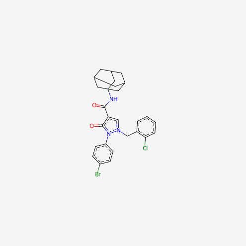 O=C(NC12CC3CC(CC(C3)C1)C2)c1cn(Cc2ccccc2Cl)n(-c2ccc(Br)cc2)c1=O